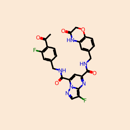 CC(=O)c1ccc(CNC(=O)c2cc(C(=O)NCc3ccc4c(c3)NC(=O)CO4)nc3c(F)cnn23)cc1F